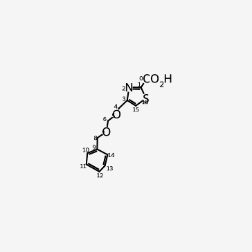 O=C(O)c1nc(COCOCc2ccccc2)cs1